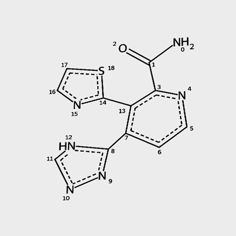 NC(=O)c1nccc(-c2nnc[nH]2)c1-c1nccs1